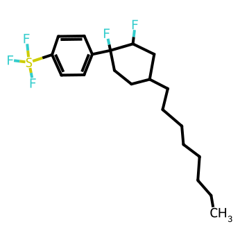 CCCCCCCCC1CCC(F)(c2ccc(S(F)(F)F)cc2)C(F)C1